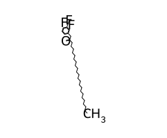 CCCCCCCCCCCCCCCCCCCCCCCC(=O)Cc1cccc(C(F)(F)F)c1